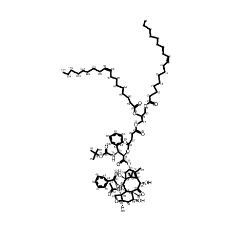 CCCCCCCC/C=C\CCCCCCCC(=O)OCC(COC(=O)CCC(=O)O[C@@H](C(=O)O[C@H]1C[C@@]2(O)[C@@H](OC(=O)c3ccccc3)[C@@H]3[C@]4(OC(C)=O)CO[C@@H]4C[C@H](O)[C@@]3(C)C(=O)[C@H](O)C(=C1C)C2(C)C)[C@@H](NC(=O)OC(C)(C)C)c1ccccc1)OC(=O)CCCCCCC/C=C\CCCCCCCC